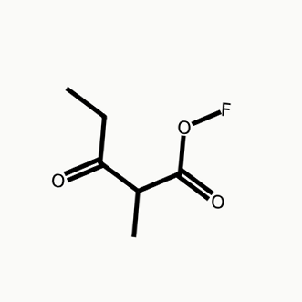 CCC(=O)C(C)C(=O)OF